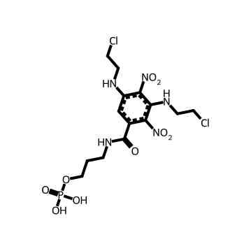 O=C(NCCCOP(=O)(O)O)c1cc(NCCCl)c([N+](=O)[O-])c(NCCCl)c1[N+](=O)[O-]